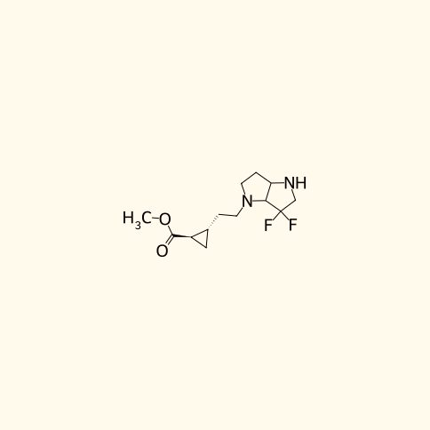 COC(=O)[C@@H]1C[C@H]1CCN1CCC2NCC(F)(F)C21